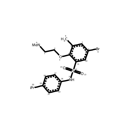 CNCCOc1c(C)cc(Br)cc1S(=O)(=O)Nc1ccc(C(C)C)cc1